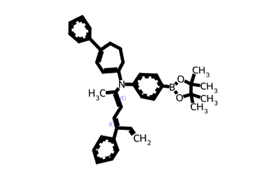 C=C/C(=C\C=C(/C)N(C1=CC=C(c2ccccc2)CCC1)c1ccc(B2OC(C)(C)C(C)(C)O2)cc1)c1ccccc1